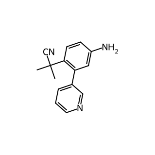 CC(C)(C#N)c1ccc(N)cc1-c1cccnc1